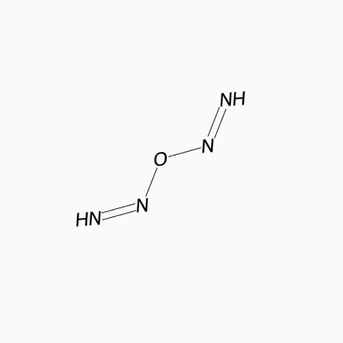 N=NON=N